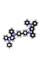 C1=CCCC(N2C3=C(CCC=C3)C3c4c(n(C5=CC=C(C6=CC=C(n7c8ccccc8c8cc9c%10ccccc%10n(-c%10ccccc%10)c9cc87)CC6)CC5)c5ccccc45)C=CC32)=C1